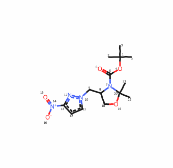 CC(C)(C)OC(=O)N1C(Cn2ccc([N+](=O)[O-])n2)COC1(C)C